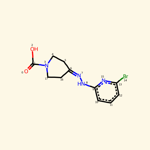 O=C(O)N1CCC(=NNc2cccc(Br)n2)CC1